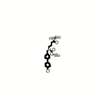 CC(C)(C)OC(=O)N(CCCC(=O)NO)Cc1ccc(-c2ccc(Cl)cc2)cc1